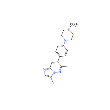 Cc1nn2c(I)cnc2cc1-c1ccc(N2CCN(C(=O)O)CC2)cc1